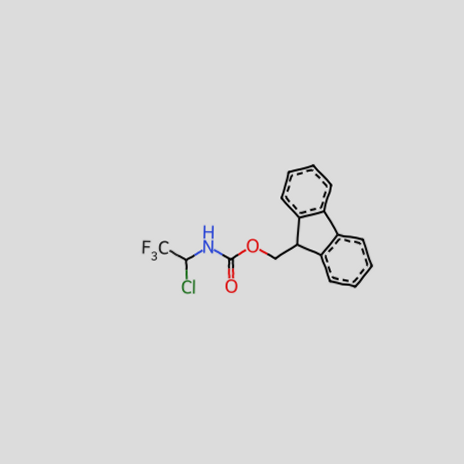 O=C(NC(Cl)C(F)(F)F)OCC1c2ccccc2-c2ccccc21